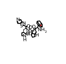 N[C@H](C(=O)N1C[C@@H]2CCC[C@@H]2[C@H]1C(=O)N[C@@H](C[C@@H]1CCNC1=O)C(=O)c1nc2cnccc2s1)C12CC3CC(CC(C3)C1)C2